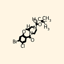 CC(C)(C)OC(=O)N1CCN2C(=O)c3cc(Cl)c(Br)cc3OC[C@@H]2C1